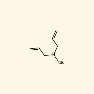 C=CC[N+](CC=C)C(C)(C)C